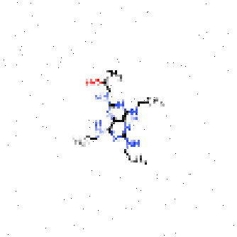 CCNc1nc(NCC)c2nc(NC[C@@H](C)O)nc(NCC)c2n1